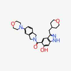 O=C(c1cc2c(CC3CCOCC3)n[nH]c2cc1O)N1Cc2ccc(N3CCOCC3)cc2C1